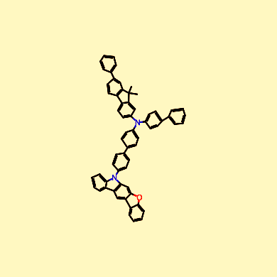 CC1(C)c2cc(-c3ccccc3)ccc2-c2ccc(N(c3ccc(-c4ccccc4)cc3)c3ccc(-c4ccc(-n5c6ccccc6c6cc7c(cc65)oc5ccccc57)cc4)cc3)cc21